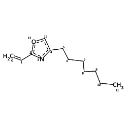 C=Cc1nc(CCCCCCC)co1